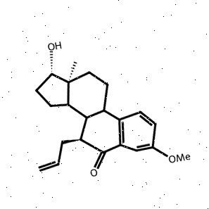 C=CC[C@@H]1C(=O)c2cc(OC)ccc2C2CC[C@@]3(C)C(CC[C@@H]3O)C21